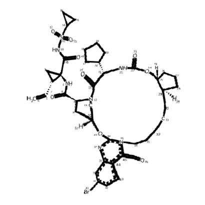 C=C[C@@H]1C[C@]1(NC(=O)[C@@H]1C[C@@H]2CN1C(=O)[C@H](C1CCCC1)NC(=O)O[C@@H]1CCC[C@H]1CCCCCn1c(nc3cc(Br)ccc3c1=O)O2)C(=O)NS(=O)(=O)C1CC1